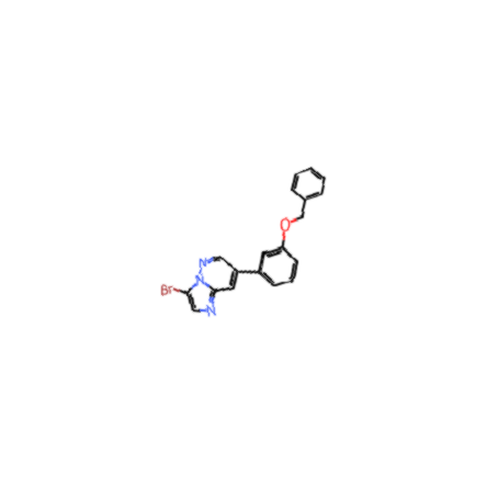 Brc1cnc2cc(-c3cccc(OCc4ccccc4)c3)cnn12